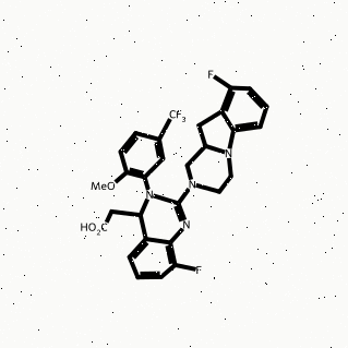 COc1ccc(C(F)(F)F)cc1N1C(N2CCN3c4cccc(F)c4CC3C2)=Nc2c(F)cccc2C1CC(=O)O